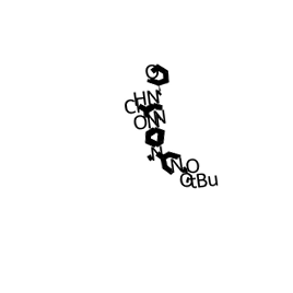 CN(c1ccc(-n2ncc(NC[C@H]3CCCOC3)c(Cl)c2=O)cc1)C1CCN(C(=O)OC(C)(C)C)CC1